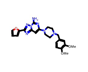 COc1ccc(CN2CCN(c3cc4nc(-c5ccco5)nn4c(N)n3)CC2)cc1OC